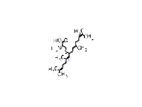 CC(C)=CCC/C(C)=C/CC(/C=C(\C)CCC=C(C)C)SC[C@H](N)C(=O)O